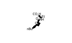 CCCCC#Cc1ccc(C(=O)N[C@@H](CC)CC(=O)O)o1